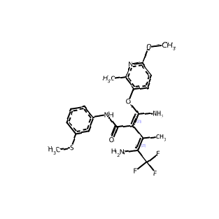 COc1ccc(O/C(N)=C(C(=O)Nc2cccc(SC)c2)/C(C)=C(\N)C(F)(F)F)c(C)n1